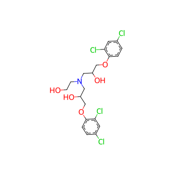 OCCN(CC(O)COc1ccc(Cl)cc1Cl)CC(O)COc1ccc(Cl)cc1Cl